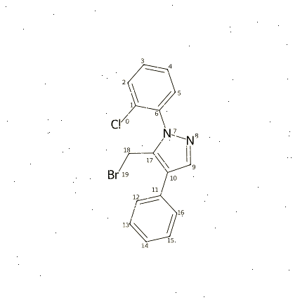 Clc1ccccc1-n1ncc(-c2ccccc2)c1CBr